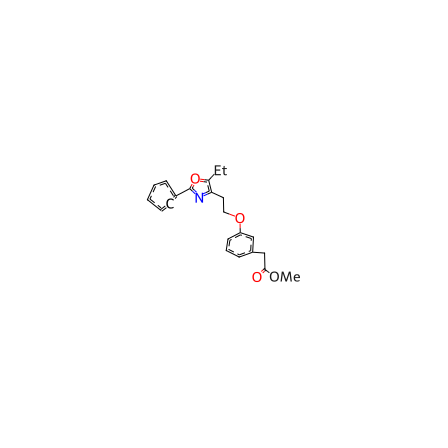 CCc1oc(-c2ccccc2)nc1CCOc1cccc(CC(=O)OC)c1